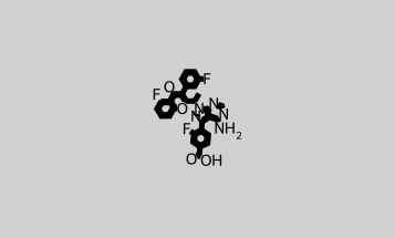 CC(c1oc2cccc(F)c2c(=O)c1-c1cccc(F)c1)n1nc(-c2ccc(C(=O)O)cc2F)c2c(N)ncnc21